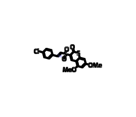 COc1cc(OC)c2cc(S(=O)(=O)/C=C/c3ccc(Cl)cc3)c(=O)sc2c1